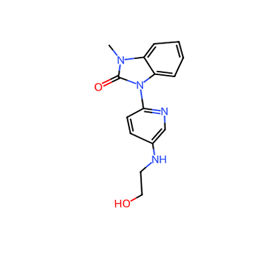 Cn1c(=O)n(-c2ccc(NCCO)cn2)c2ccccc21